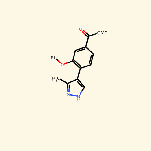 CCOc1cc(C(=O)OC)ccc1-c1c[nH]nc1C